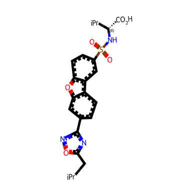 CC(C)Cc1nc(-c2ccc3c(c2)oc2ccc(S(=O)(=O)N[C@@H](C(=O)O)C(C)C)cc23)no1